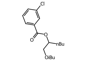 CCCCC(COCC(C)C)OC(=O)c1cccc(Cl)c1